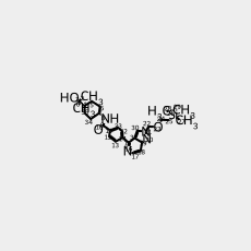 CC(C)(O)[C@H]1CC[C@H](NC(=O)c2ccc(-c3nccc4nn(COCC[Si](C)(C)C)cc34)cc2)CC1